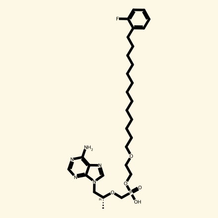 C[C@H](Cn1cnc2c(N)ncnc21)OCP(=O)(O)OCCOCCCCCCCCCCCCCc1ccccc1F